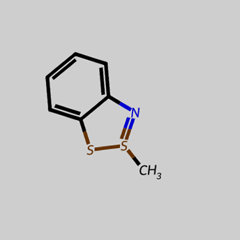 CS1=Nc2ccccc2S1